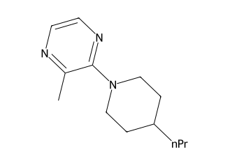 CCCC1CCN(c2nccnc2C)CC1